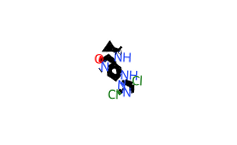 C[C@@H](Nc1cc(=O)n(C)c2ccc(Nc3nc(Cl)ncc3Cl)cc12)C1CC1